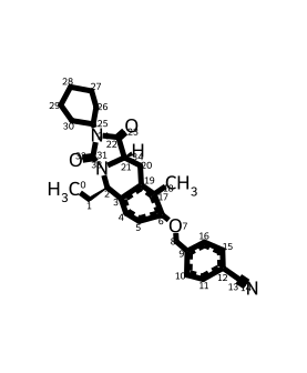 CC[C@@H]1c2ccc(OCc3ccc(C#N)cc3)c(C)c2C[C@H]2C(=O)N(C3CCCCC3)C(=O)N12